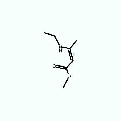 CCN/C(C)=C\C(=O)OC